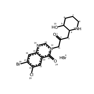 Br.O=C(CC1NCCCC1O)Cn1cnc2cc(Br)c(Cl)cc2c1=O